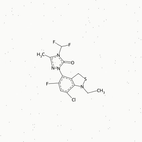 CCN1SCc2c1c(Cl)cc(F)c2-n1nc(C)n(C(F)F)c1=O